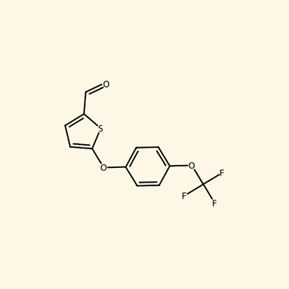 O=Cc1ccc(Oc2ccc(OC(F)(F)F)cc2)s1